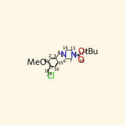 COc1cc(CN2CCN(C(=O)OC(C)(C)C)CC2)ccc1CCl